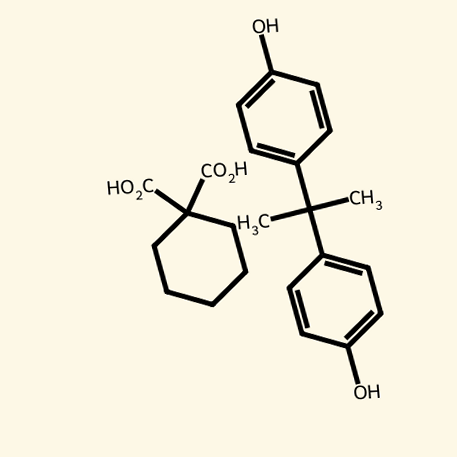 CC(C)(c1ccc(O)cc1)c1ccc(O)cc1.O=C(O)C1(C(=O)O)CCCCC1